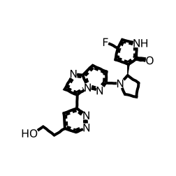 O=c1[nH]cc(F)cc1[C@H]1CCCN1c1ccc2ncc(-c3cc(CCO)cnn3)n2n1